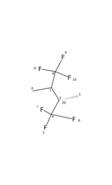 CC([C@H](C)C(F)(F)F)C(F)(F)F